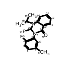 Cc1ccc(F)c(N2C(=O)c3ccccc3N(C(C)C)C2F)c1